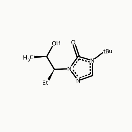 CC[C@@H]([C@@H](C)O)n1ncn(C(C)(C)C)c1=O